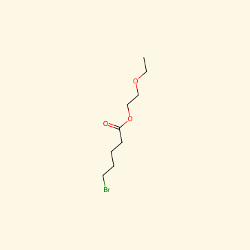 CCOCCOC(=O)CCCCBr